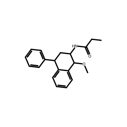 CCC(=O)NC1CC(c2ccccc2)c2ccccc2C1OC